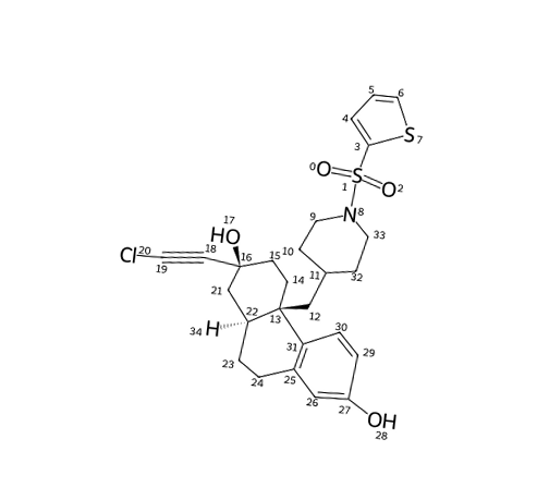 O=S(=O)(c1cccs1)N1CCC(C[C@]23CC[C@@](O)(C#CCl)C[C@@H]2CCc2cc(O)ccc23)CC1